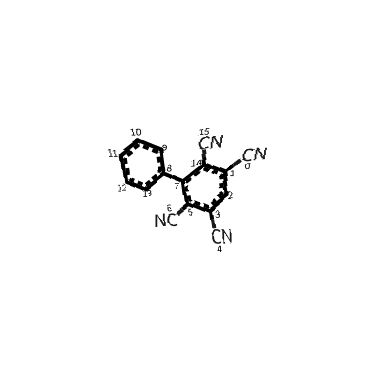 N#Cc1cc(C#N)c(C#N)c(-c2ccccc2)c1C#N